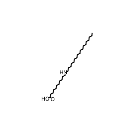 CCCCCCCCCCCCCCCCCCNCCCCCCCCCCC(=O)O